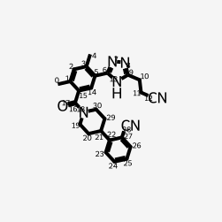 Cc1cc(C)c(-c2nnc(CCC#N)[nH]2)cc1C(=O)N1CCC(c2ccccc2C#N)CC1